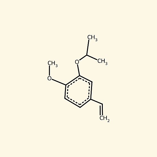 C=Cc1ccc(OC)c(OC(C)C)c1